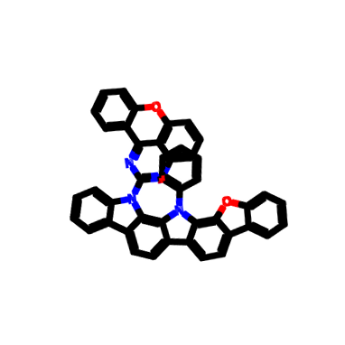 c1ccc(-n2c3c(ccc4c5ccccc5oc43)c3ccc4c5ccccc5n(-c5nc6c7c(cccc7n5)Oc5ccccc5-6)c4c32)cc1